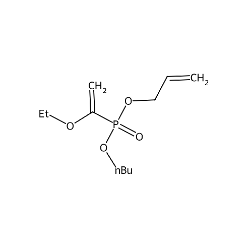 C=CCOP(=O)(OCCCC)C(=C)OCC